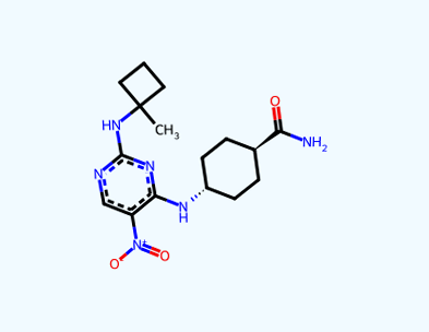 CC1(Nc2ncc([N+](=O)[O-])c(N[C@H]3CC[C@H](C(N)=O)CC3)n2)CCC1